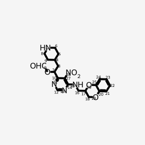 O=COC(CC1CCNCC1)c1ncnc(NCC2COc3ccccc3O2)c1[N+](=O)[O-]